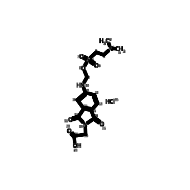 CN(C)CCS(=O)(=O)OCNc1ccc2c(c1)C(=O)N(CC(=O)O)C2=O.Cl